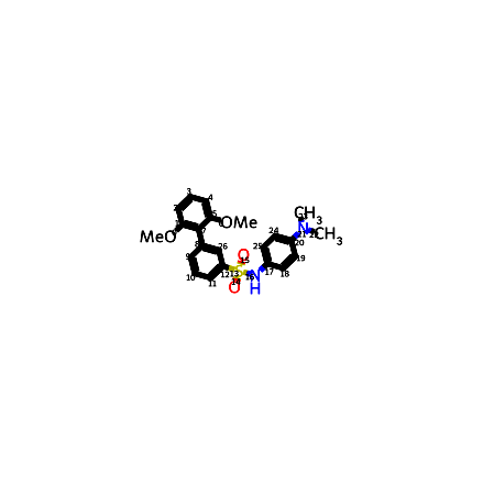 COc1cccc(OC)c1-c1cccc(S(=O)(=O)Nc2ccc(N(C)C)cc2)c1